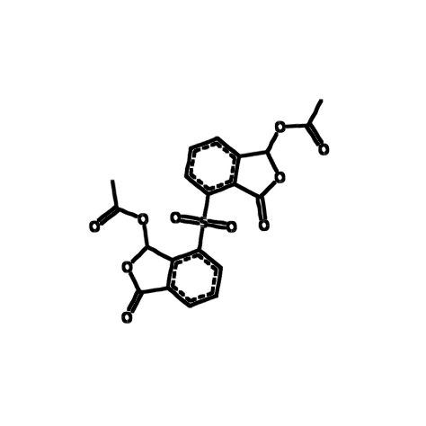 CC(=O)OC1OC(=O)c2c1cccc2S(=O)(=O)c1cccc2c1C(OC(C)=O)OC2=O